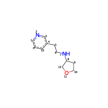 c1cncc(CCNC2CCOC2)c1